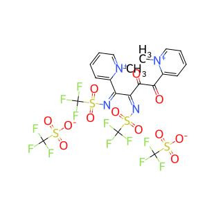 C[n+]1ccccc1C(=O)C(=O)C(=NS(=O)(=O)C(F)(F)F)C(=NS(=O)(=O)C(F)(F)F)c1cccc[n+]1C.O=S(=O)([O-])C(F)(F)F.O=S(=O)([O-])C(F)(F)F